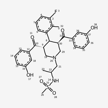 Cc1c(F)cccc1C1[C@@H](C(=O)c2cccc(O)c2)CN(CC(C)NS(C)(=O)=O)C[C@@H]1C(=O)c1cccc(O)c1